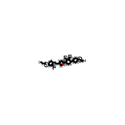 C=CCOc1ccc(/C=C/c2ccc(-c3ccc(C4CCC(OCC)CC4)c(F)c3F)cc2)c(F)c1